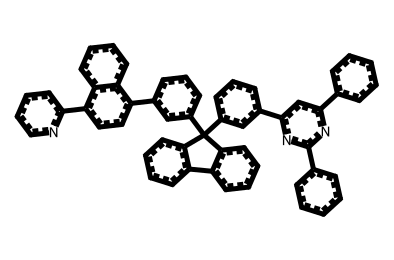 c1ccc(-c2cc(-c3cccc(C4(c5cccc(-c6ccc(-c7ccccn7)c7ccccc67)c5)c5ccccc5-c5ccccc54)c3)nc(-c3ccccc3)n2)cc1